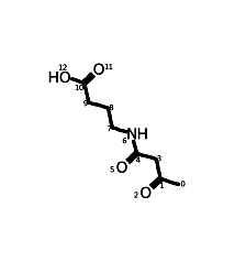 CC(=O)CC(=O)NCCCC(=O)O